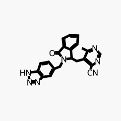 Cc1ncnc(C#N)c1CC1c2ccccc2C(=O)N1Cc1ccc2[nH]nnc2c1